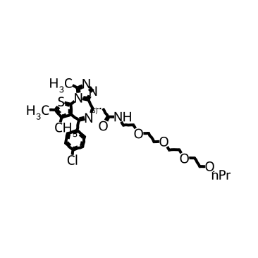 CCCOCCOCCOCCOCCNC(=O)C[C@@H]1N=C(c2ccc(Cl)cc2)c2c(sc(C)c2C)-n2c(C)nnc21